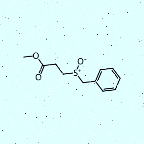 COC(=O)CC[S+]([O-])Cc1ccccc1